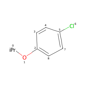 CC(C)Oc1ccc(Cl)cc1